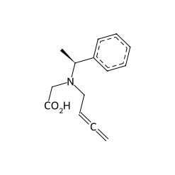 C=C=CCN(CC(=O)O)[C@@H](C)c1ccccc1